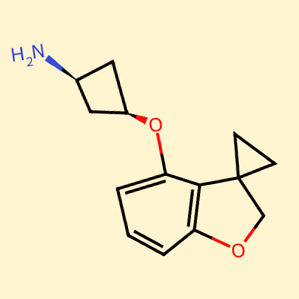 N[C@H]1C[C@@H](Oc2cccc3c2C2(CC2)CO3)C1